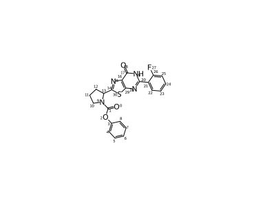 O=C(Oc1ccccc1)N1CCCC1c1nc2c(=O)[nH]c(-c3ccccc3F)nc2s1